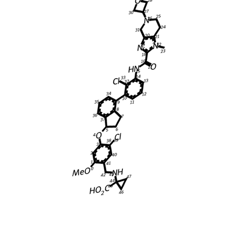 COc1cc(OC2CCc3c(-c4cccc(NC(=O)c5nc6c(n5C)CCN(C5COC5)C6)c4Cl)cccc32)c(Cl)cc1CNC1(C(=O)O)CC1